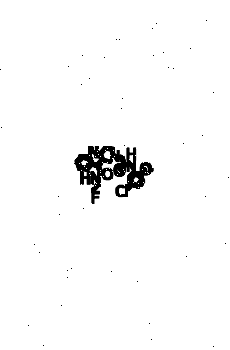 COc1ccc(Cl)cc1NC(=O)CN1CCc2nc3ccccc3c(C(=O)NCCF)c2C1